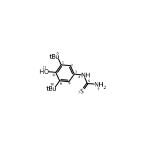 CC(C)(C)c1cc(NC(N)=S)cc(C(C)(C)C)c1O